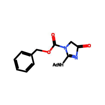 CC(=O)NC1=NC(=O)CN1C(=O)OCc1ccccc1